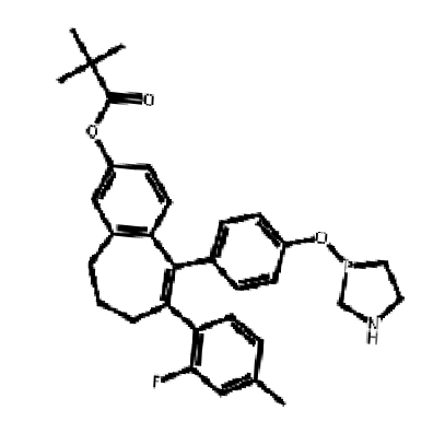 Cc1ccc(C2=C(c3ccc(OP4CCNC4)cc3)c3ccc(OC(=O)C(C)(C)C)cc3CCC2)c(F)c1